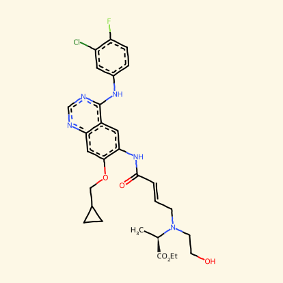 CCOC(=O)[C@@H](C)N(CC=CC(=O)Nc1cc2c(Nc3ccc(F)c(Cl)c3)ncnc2cc1OCC1CC1)CCO